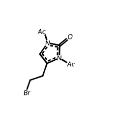 CC(=O)n1cc(CCBr)n(C(C)=O)c1=O